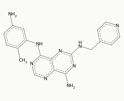 Cc1ccc(N)cc1Nc1ncnc2c(N)nc(NCc3ccncc3)nc12